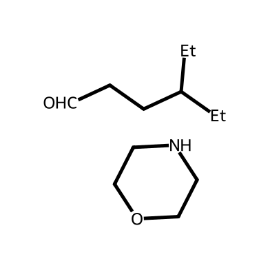 C1COCCN1.CCC(CC)CCC=O